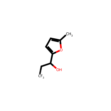 Cc1ccc(C(O)CC(F)(F)F)o1